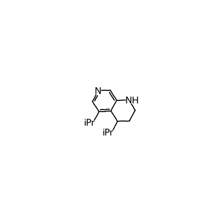 CC(C)c1cncc2c1C(C(C)C)CCN2